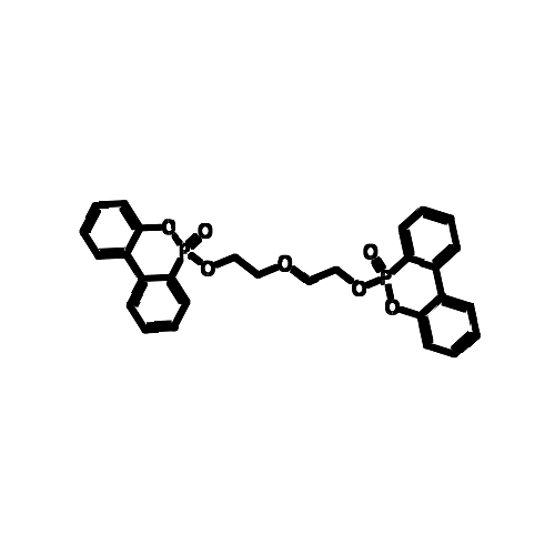 O=P1(OCCOCCOP2(=O)Oc3ccccc3-c3ccccc32)Oc2ccccc2-c2ccccc21